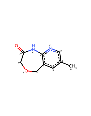 Cc1cnc2c(c1)COCC(=O)N2